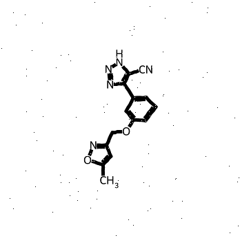 Cc1cc(COc2cccc(-c3nn[nH]c3C#N)c2)no1